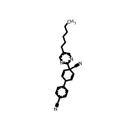 CCCCCCc1cnc(C2(C#N)C=CC(c3ccc(C#N)cc3)C=C2)nc1